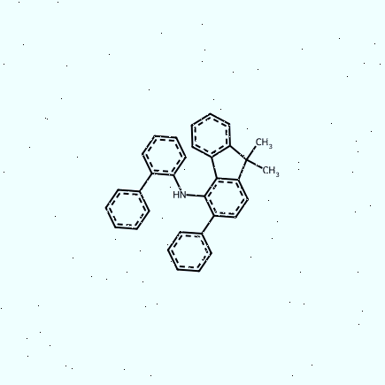 CC1(C)c2ccccc2-c2c1ccc(-c1ccccc1)c2Nc1ccccc1-c1ccccc1